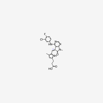 Cc1cc(CCC(=O)O)[nH]c1/C=C1\C(=O)N(C)c2ncnc(Nc3ccc(F)c(Cl)c3)c21